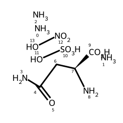 N.N.N.NC(=O)C[C@H](N)C(=O)O.O=S(=O)(O)O.O=[N+]([O-])O